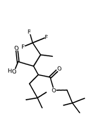 CC(C(C(=O)O)C(CC(C)(C)C)C(=O)OCC(C)(C)C)C(F)(F)F